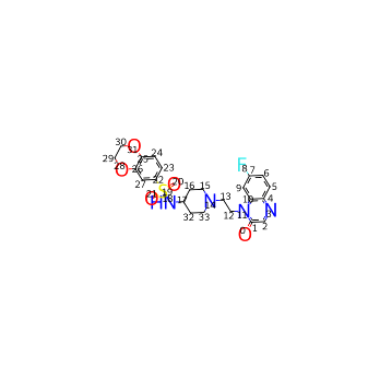 O=c1cnc2ccc(F)cc2n1CCN1CCC(NS(=O)(=O)c2ccc3c(c2)OCCO3)CC1